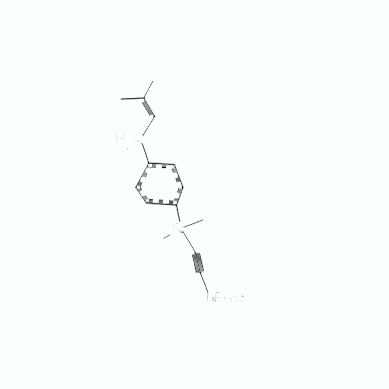 CCCCCC#C[Si](C)(C)c1ccc([SiH2]C=C(C)C)cc1